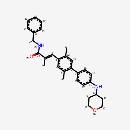 C/C(=C\c1cc(C)c(-c2ccc(NC3CCOCC3)cc2)cc1C)C(=O)NCc1ccccc1